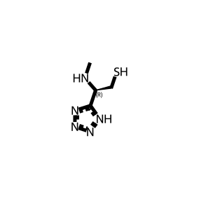 CN[C@@H](CS)c1nnn[nH]1